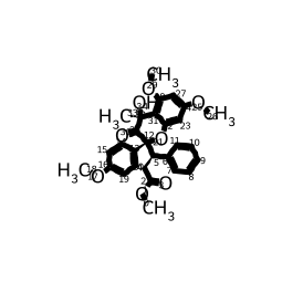 COC(=O)C[C@H](c1ccccc1)[C@@]1(c2ccc(OC)cc2)Oc2cc(OC)cc(OC)c2[C@](C)(O)C1=O